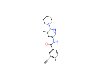 C#Cc1cc(C(=O)Nc2cnc(N3CCCCC3)c(C)c2)ccc1C